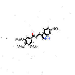 COc1cc(C(=O)C=Cc2c[nH]c3cc([N+](=O)[O-])ccc23)cc(OC)c1OC